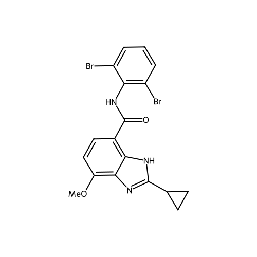 COc1ccc(C(=O)Nc2c(Br)cccc2Br)c2[nH]c(C3CC3)nc12